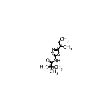 CCC(C)c1nnc(NC(=O)C(C)(C)C)s1